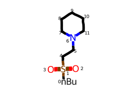 CCCCS(=O)(=O)CCN1CCCCC1